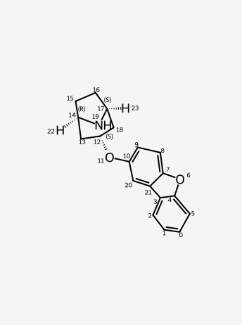 c1ccc2c(c1)oc1ccc(O[C@@H]3C[C@H]4CC[C@@H](C3)N4)cc12